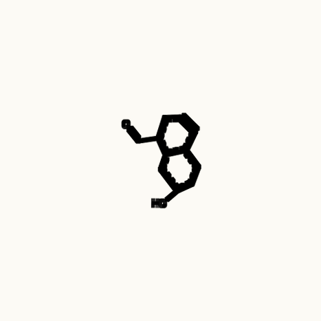 O=Cc1cc#cc2ccc(O)cc12